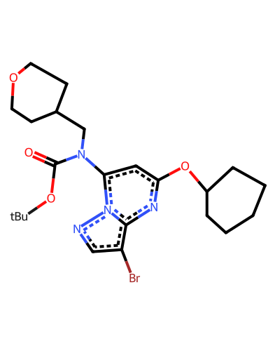 CC(C)(C)OC(=O)N(CC1CCOCC1)c1cc(OC2CCCCC2)nc2c(Br)cnn12